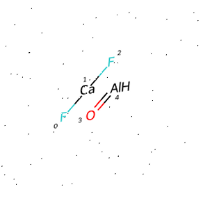 [F][Ca][F].[O]=[AlH]